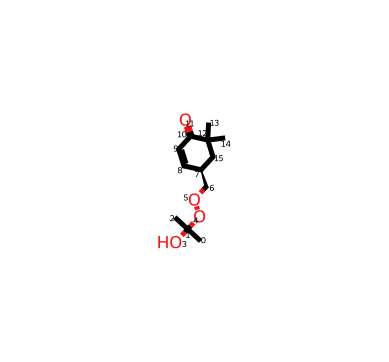 CC(C)(O)OOC[C@H]1C=CC(=O)C(C)(C)C1